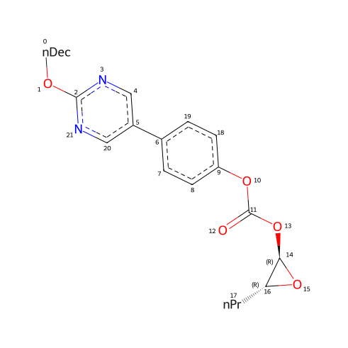 CCCCCCCCCCOc1ncc(-c2ccc(OC(=O)O[C@H]3O[C@@H]3CCC)cc2)cn1